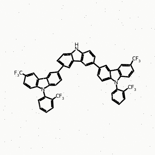 FC(F)(F)c1ccc2c(c1)c1cc(-c3ccc4[nH]c5ccc(-c6ccc7c(c6)c6cc(C(F)(F)F)ccc6n7-c6ccccc6C(F)(F)F)cc5c4c3)ccc1n2-c1ccccc1C(F)(F)F